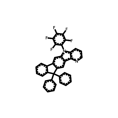 Fc1c(F)c(F)c(-n2c3cc4c(cc3c3ncccc32)C(c2ccccc2)(c2ccccc2)c2ccccc2-4)c(F)c1F